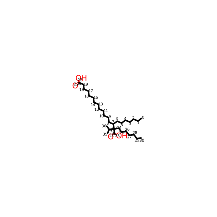 CCCCCCCC(CCCCCCCCCCCCC(=O)O)C(CCCCCCC)(C(=O)O)C(C)C